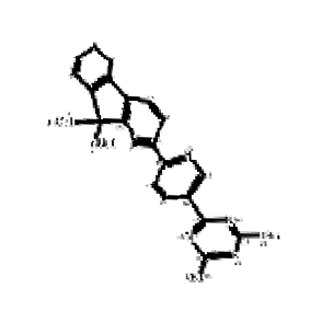 CCCCCCCCC1(CCCCCCCC)C2=C(CCC=C2)c2ccc(-c3ccc(-c4nc(C(C)(C)C)nc(C(C)(C)C)n4)cn3)cc21